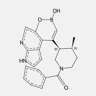 C[C@H]1CCN(C(=O)c2ccccc2)C[C@H]1C1=CB(O)Oc2cnc3[nH]ccc3c21